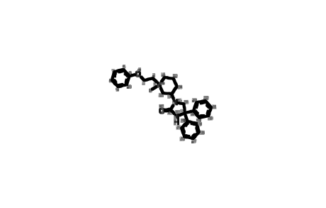 C[N+]1(CCOc2ccccc2)CCCC(N2CC(c3ccccc3)(c3ccccc3)NC2=O)C1